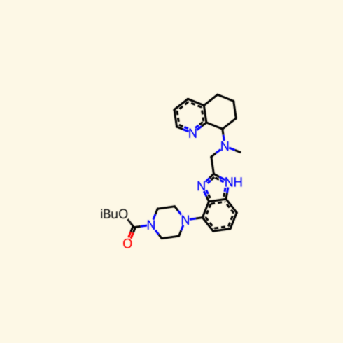 CC(C)COC(=O)N1CCN(c2cccc3[nH]c(CN(C)C4CCCc5cccnc54)nc23)CC1